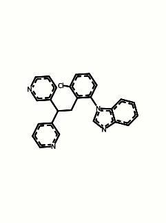 Clc1cccc(-n2cnc3ccccc32)c1CC(c1cccnc1)c1cccnc1